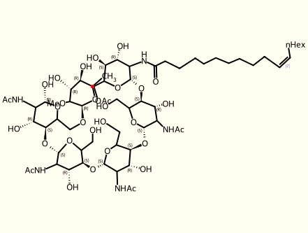 CCCCCC/C=C\CCCCCCCCCC(=O)NC1[C@H](O[C@@H]2C(CO)O[C@@H](O[C@@H]3C(CO)O[C@@H](O[C@@H]4C(CO)O[C@@H](O[C@@H]5C(CO[C@@H]6OC(C)[C@H](O)[C@@H](O)C6OC)O[C@@H](O)C(NC(C)=O)[C@H]5O)C(NC(C)=O)[C@H]4O)C(NC(C)=O)[C@H]3O)C(NC(C)=O)[C@H]2O)OC(COC(C)=O)[C@@H](O)[C@@H]1O